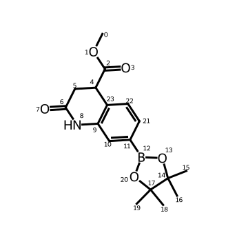 COC(=O)C1CC(=O)Nc2cc(B3OC(C)(C)C(C)(C)O3)ccc21